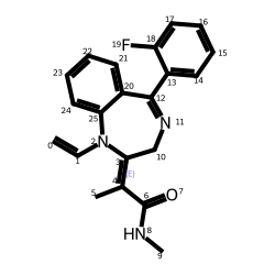 C=CN1/C(=C(\C)C(=O)NC)CN=C(c2ccccc2F)c2ccccc21